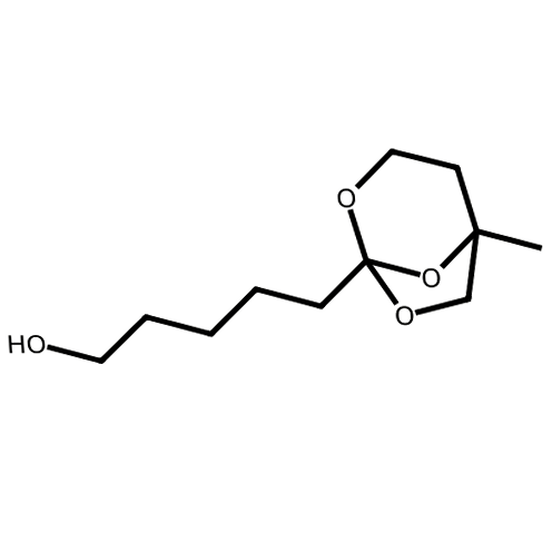 CC12CCOC(CCCCCO)(OC1)O2